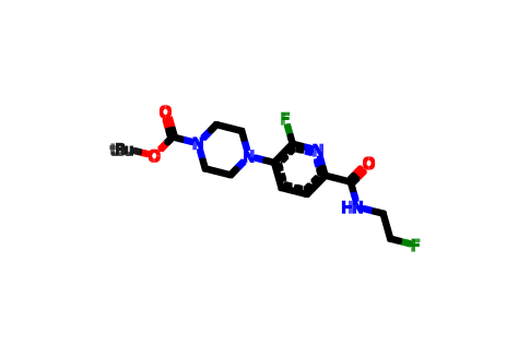 CC(C)(C)OC(=O)N1CCN(c2ccc(C(=O)NCCF)nc2F)CC1